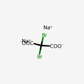 O=C([O-])C(Br)(Br)C(=O)[O-].[Na+].[Na+]